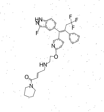 O=C(/C=C/CNCCOc1ccc(/C(=C(/CC(F)(F)F)c2ccccc2)c2ccc3[nH]nc(F)c3c2)cn1)N1CCCCC1